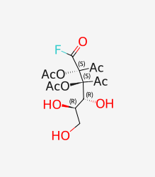 CC(=O)O[C@@](C(C)=O)(C(=O)F)[C@](OC(C)=O)(C(C)=O)[C@H](O)[C@H](O)CO